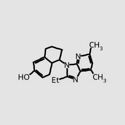 CCc1nc2c(C)cc(C)nc2n1C1CCCC2=CC(O)=CCC21